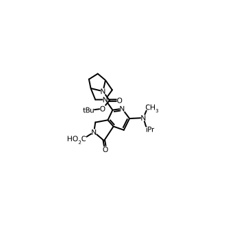 CC(C)N(C)c1cc2c(c(N3CC4CCC(C3)N4C(=O)OC(C)(C)C)n1)CN(C(=O)O)C2=O